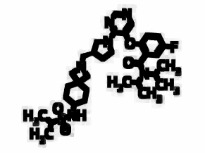 CC(C)N(C(=O)c1cc(F)ccc1Oc1cncnc1N1CC[C@@H](CN2CC3(CCC(NS(=O)(=O)C(C)C)CC3)C2)C1)C(C)C